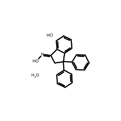 Cl.O.ON=C1CC(c2ccccc2)(c2ccccc2)c2ccccc21